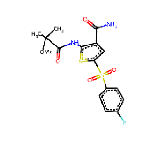 COC(C)(C)C(=O)Nc1sc(S(=O)(=O)c2ccc(F)cc2)cc1C(N)=O